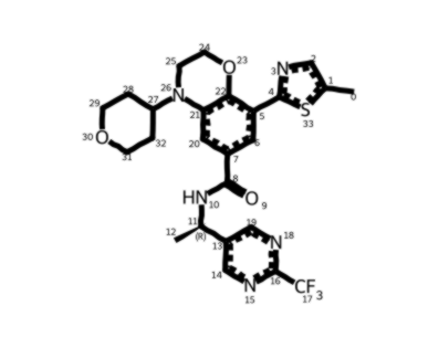 Cc1cnc(-c2cc(C(=O)N[C@H](C)c3cnc(C(F)(F)F)nc3)cc3c2OCCN3C2CCOCC2)s1